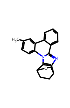 Cc1ccc2c(c1)c1ccccc1c1nc3c(n21)C1CCC3CC1